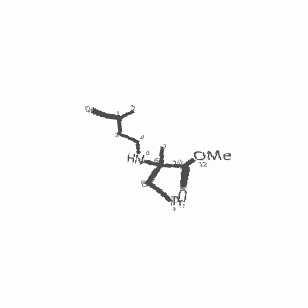 C=C(C)CCNC(C)(CC(C)C)C(=O)OC